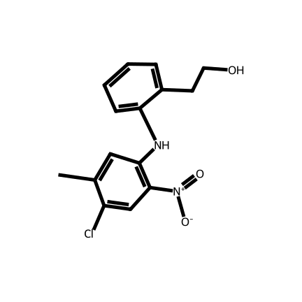 Cc1cc(Nc2ccccc2CCO)c([N+](=O)[O-])cc1Cl